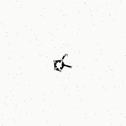 CC(C)n1nnnc1F